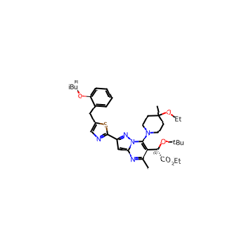 CCOC(=O)[C@@H](OC(C)(C)C)c1c(C)nc2cc(-c3ncc(Cc4ccccc4O[C@H](C)CC)s3)nn2c1N1CCC(C)(OCC)CC1